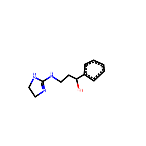 OC(CCNC1=NCCN1)c1ccccc1